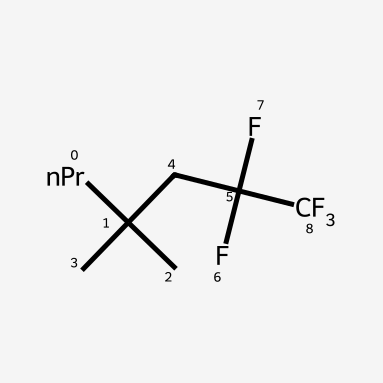 CCCC(C)(C)CC(F)(F)C(F)(F)F